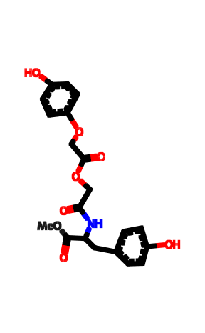 COC(=O)C(Cc1ccc(O)cc1)NC(=O)COC(=O)COc1ccc(O)cc1